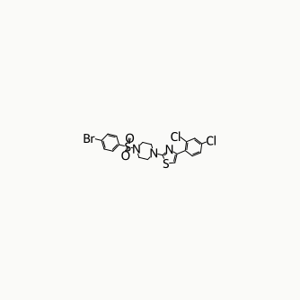 O=S(=O)(c1ccc(Br)cc1)N1CCN(c2nc(-c3ccc(Cl)cc3Cl)cs2)CC1